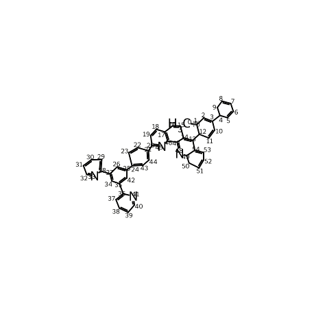 C[C@H]1C=C(C2C=CC=CC2)C=CC1C1=c2ccc3ccc(-c4ccc(-c5cc(-c6ccccn6)cc(-c6ccccn6)c5)cc4)nc3c2=NC2CC=CC=C12